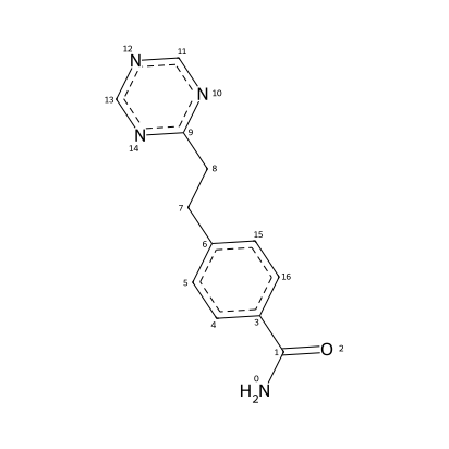 NC(=O)c1ccc(CCc2ncncn2)cc1